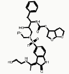 C/C(NCCO)=C1\C(=O)Nc2ccc(S(=O)(=O)N(CC(C)C)CC(O)C(Cc3ccccc3)NC(=O)OC3COC4OCCC34)cc21